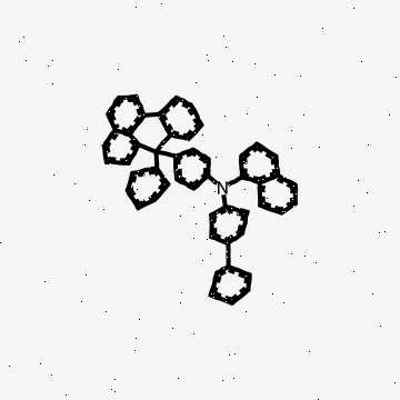 c1ccc(-c2ccc(N(c3ccc(C4(c5ccccc5)c5ccccc5-c5cccc6cccc4c56)cc3)c3cccc4ccccc34)cc2)cc1